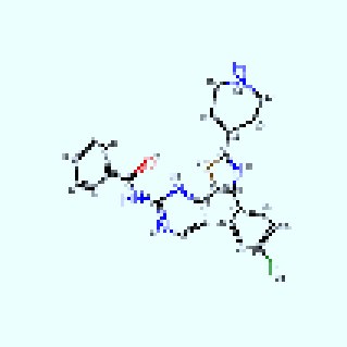 O=C(Nc1nccc(-c2sc(C3CCNCC3)nc2-c2ccc(F)cc2)n1)c1ccccc1